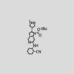 Cn1cc(-c2cc3cnc(Nc4ccccc4C#N)cc3n2C(=O)OC(C)(C)C)cn1